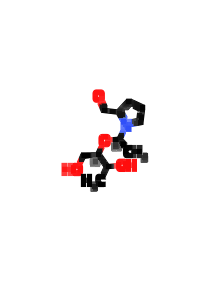 CC(O)[C@@H](CO)O[C@H](C)n1cccc1C=O